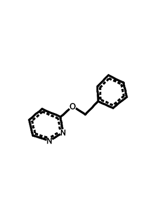 c1ccc(COc2cccnn2)cc1